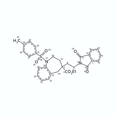 CCOC(=O)C1(CCN2C(=O)c3ccccc3C2=O)CCN(S(=O)(=O)c2ccc(C)cc2)c2ccccc2C1